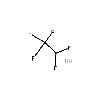 FC(F)C(F)(F)F.[LiH]